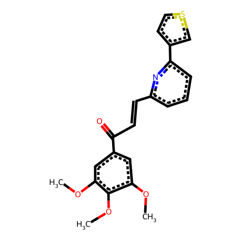 COc1cc(C(=O)/C=C/c2cccc(-c3ccsc3)n2)cc(OC)c1OC